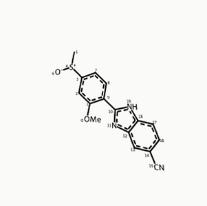 COc1cc([S+](C)[O-])ccc1-c1nc2cc(C#N)ccc2[nH]1